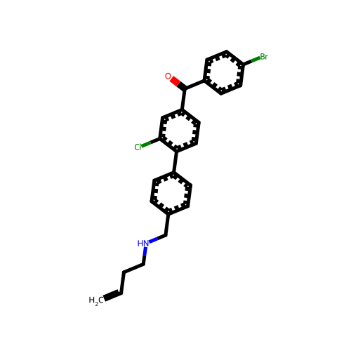 C=CCCNCc1ccc(-c2ccc(C(=O)c3ccc(Br)cc3)cc2Cl)cc1